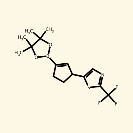 CC1(C)OB(C2=CC(c3cnc(C(F)(F)F)s3)CC2)OC1(C)C